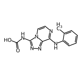 Cc1ccccc1Nc1nccn2c(NC(=O)O)nnc12